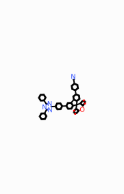 N#Cc1ccc(-c2ccc3c(c2)-c2cc(-c4ccc(-c5nc(-c6ccccc6)nc(-c6ccccc6)n5)cc4)ccc2C32c3ccccc3Oc3ccccc32)cc1